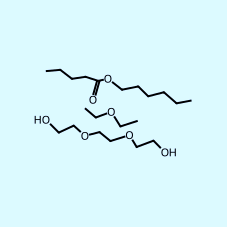 CCCCCCOC(=O)CCCC.CCOCC.OCCOCCOCCO